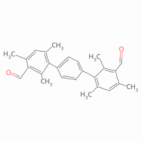 Cc1cc(C)c(-c2ccc(-c3c(C)cc(C)c(C=O)c3C)cc2)c(C)c1C=O